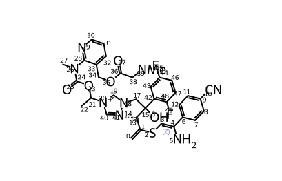 C=C(S/C=C(\N)c1ccc(C#N)cc1)[C@H](C)C(O)(Cn1c[n+](C(C)OC(=O)N(C)c2ncccc2COC(=O)CNC)cn1)c1cc(F)ccc1F